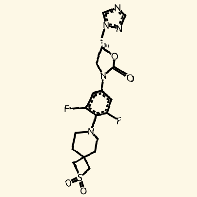 O=C1O[C@@H](Cn2cncn2)CN1c1cc(F)c(N2CCC3(CC2)CS(=O)(=O)C3)c(F)c1